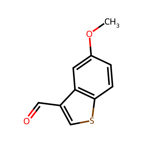 COc1ccc2scc(C=O)c2c1